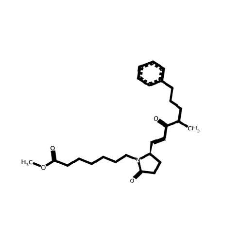 COC(=O)CCCCCCN1C(=O)CC[C@@H]1C=CC(=O)C(C)CCCc1ccccc1